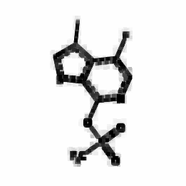 Cc1csc2c(OS(=O)(=O)C(F)(F)F)ncc(F)c12